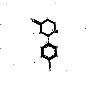 O=C1CCN[C@H](c2ccc(F)cc2)C1